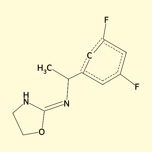 CC(/N=C1\NCCO1)c1cc(F)cc(F)c1